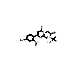 CCC(CN1C(C)=NC(c2ccc(C#N)cc2NF)=CC1CC)NC(C)(C)C(F)(F)F